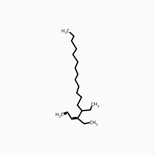 C=CC=C(CC)C(CC)CCCCCCCCCCCCC